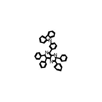 c1ccc(-c2nc3c(-c4cccc(-n5c6ccccc6c6ccccc65)c4)nc(-c4ccccc4)c(-c4ccccc4)c3nc2-c2ccccc2)cc1